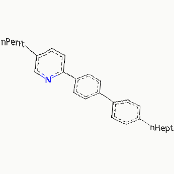 CCCCCCCc1ccc(-c2ccc(-c3ccc(CCCCC)cn3)cc2)cc1